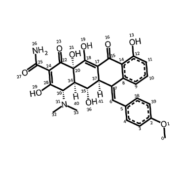 COc1ccc(/C=C2\c3cccc(O)c3C(=O)C3=C(O)[C@]4(O)C(=O)C(C(N)=O)=C(O)[C@@H](N(C)C)[C@@H]4[C@@H](O)[C@@H]32)cc1